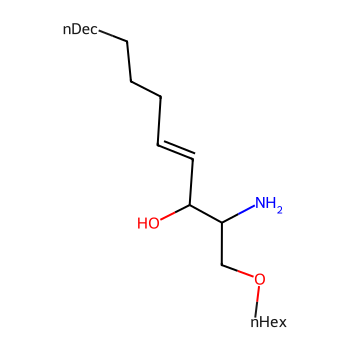 CCCCCCCCCCCCCC=CC(O)C(N)COCCCCCC